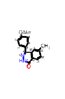 COc1ccc(-c2n[nH]c(=O)c3ccc(C)cc23)cc1